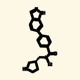 CCN(C[C@@H]1CCNC1)C(=O)c1ccc(-c2ccc3cn[nH]c3c2)cc1